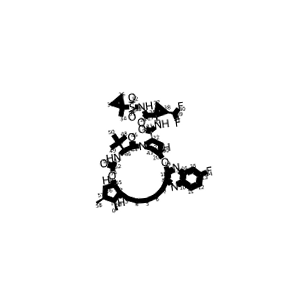 C[C@@H]1[C@H]2CCCCCc3nc4ccc(F)cc4nc3O[C@@H]3C[C@@H](C(=O)N[C@]4(C(=O)NS(=O)(=O)C5(C)CC5)C[C@H]4C(F)F)N(C3)C(=O)[C@H](C(C)(C)C)NC(=O)O[C@@H]2C[C@@H]1C